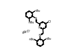 CCCCc1cccc(CCCC)c1N=Cc1cc(Cl)cc(C=Nc2c(CCCC)cccc2CCCC)n1.[Cl-].[Cl-].[V+2]